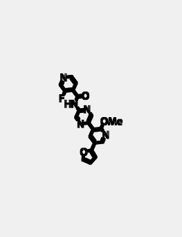 COc1ncc(-c2ccco2)cc1-c1cnc(NC(=O)c2ccncc2F)cn1